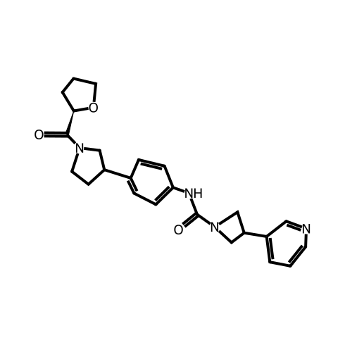 O=C(Nc1ccc(C2CCN(C(=O)[C@H]3CCCO3)C2)cc1)N1CC(c2cccnc2)C1